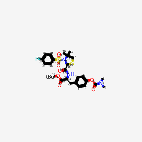 CN(C)C(=O)Oc1ccc(C[C@H](NC(=O)[C@@H]2SCC(C)(C)N2S(=O)(=O)c2ccc(F)cc2)C(=O)OC(C)(C)C)cc1